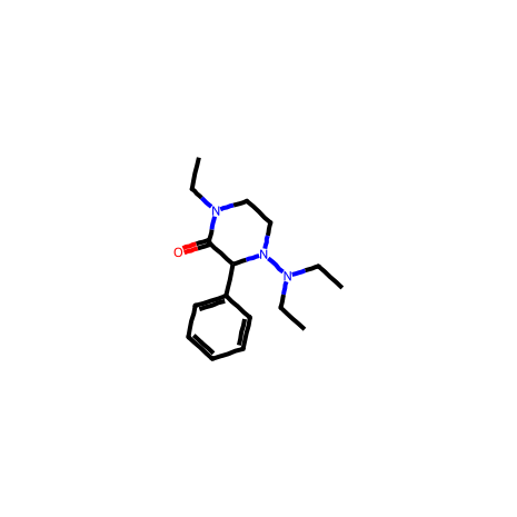 CCN1CCN(N(CC)CC)C(c2ccccc2)C1=O